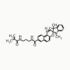 C=C(C)C(=O)NCCCNC(=O)c1ccc2c3c(ccc2c1)OC1(C=N3)N(C)c2ccccc2C1(C)C